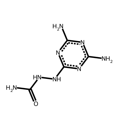 NC(=O)NNc1nc(N)nc(N)n1